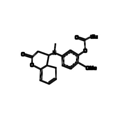 COc1ccc(N(C)C2CC(=O)OC3=CC=CCC32)cc1OC(=O)C(C)(C)C